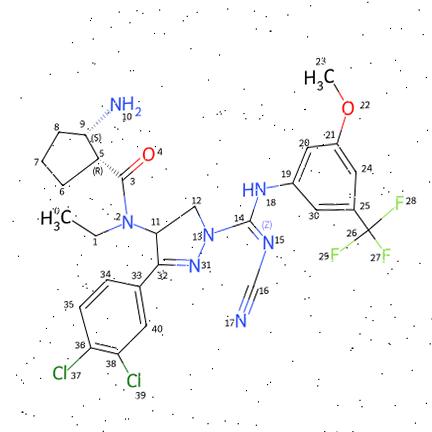 CCN(C(=O)[C@@H]1CCC[C@@H]1N)C1CN(/C(=N\C#N)Nc2cc(OC)cc(C(F)(F)F)c2)N=C1c1ccc(Cl)c(Cl)c1